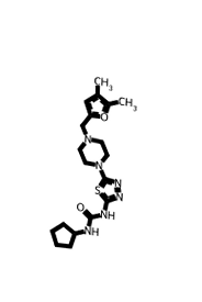 Cc1cc(CN2CCN(c3nnc(NC(=O)NC4CCCC4)s3)CC2)oc1C